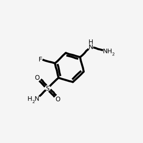 NNc1ccc(S(N)(=O)=O)c(F)c1